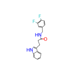 O=C(CCc1c[nH]c2ccccc12)NCc1ccc(F)c(F)c1